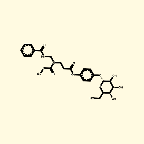 CC(C)(C)OC(=O)N(CCC(=O)Nc1ccc(O[C@H]2OC(CO)[C@H](O)[C@H](O)C2O)cc1)CNC(=O)c1ccccc1